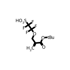 C=C(COC(F)(F)C(F)(F)S(=O)(=O)O)C(=O)OC(C)(C)C